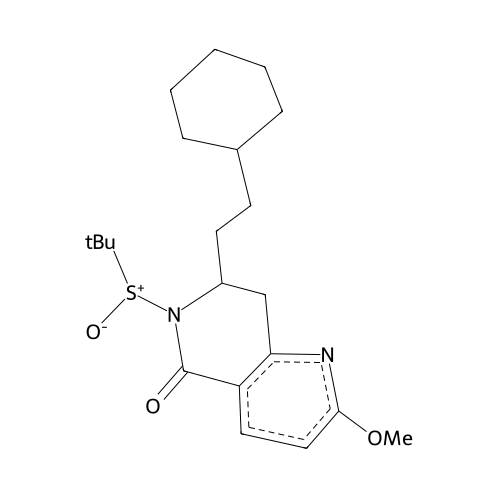 COc1ccc2c(n1)CC(CCC1CCCCC1)N([S+]([O-])C(C)(C)C)C2=O